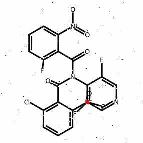 O=C(c1c(F)cccc1[N+](=O)[O-])N(C(=O)c1c(Cl)cccc1[N+](=O)[O-])c1c(F)cncc1F